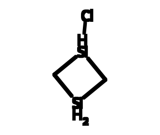 Cl[SiH]1C[SiH2]C1